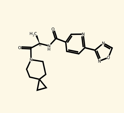 C[C@@H](NC(=O)c1ccc(-c2ncon2)nc1)C(=O)N1CCC2(CC1)CC2